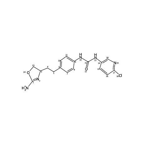 NC1=NC(CCc2ccc(NC(=O)Nc3ccc(Cl)nc3)cc2)CO1